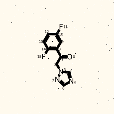 O=C(Cn1cncn1)c1cc(F)ccc1F